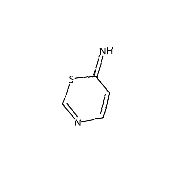 N=c1ccncs1